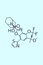 COC(C)(C)c1cc(-c2nccs2)c2oc(N3CC4CCCC(C3)N4C(=O)O)nc2c1OC(F)(F)F